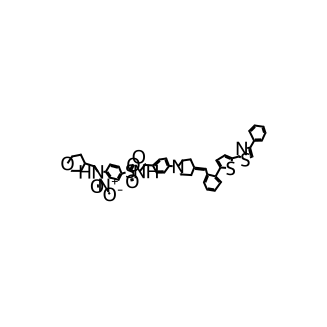 O=C(NS(=O)(=O)c1ccc(NCC2CCOCC2)c([N+](=O)[O-])c1)c1ccc(N2CCC(=Cc3ccccc3-c3ccc(-c4nc(-c5ccccc5)cs4)s3)CC2)cc1